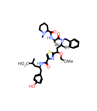 CCC(C)C(NC(=O)C1CCCCN1C)C(=O)N(Cc1ccccc1)C(CC(OCOC)c1nc(C(=O)NC(Cc2ccc(O)cc2)CC(C)C(=O)O)cs1)C(C)C